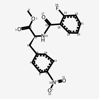 COC(=O)[C@H](Cc1ccc([N+](=O)[O-])cc1)NC(=O)c1ccccc1F